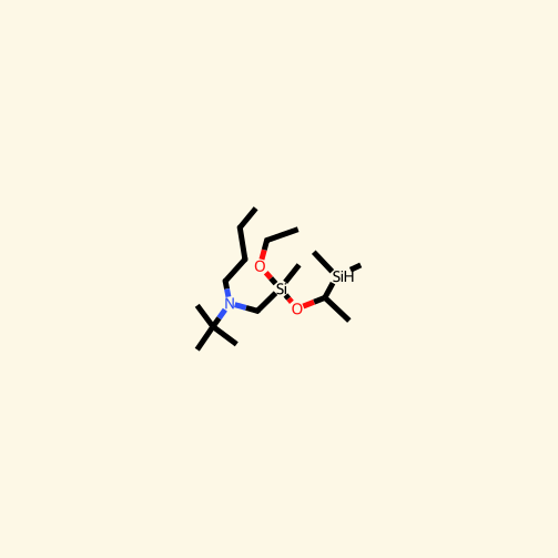 CCCCN(C[Si](C)(OCC)OC(C)[SiH](C)C)C(C)(C)C